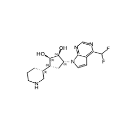 O[C@@H]1[C@H](O)[C@@H]([C@H]2CCCNC2)C[C@H]1n1ccc2c(C(F)F)ncnc21